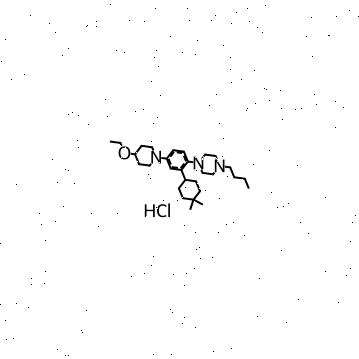 CCCCN1CCN(c2ccc(N3CCC(OCC)CC3)cc2C2CCC(C)(C)CC2)CC1.Cl